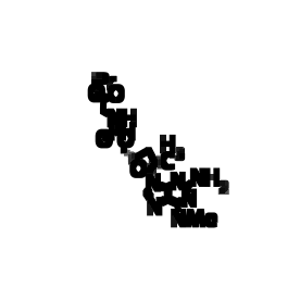 CNc1nc(N)nc2c1ncn2[C@@H]1O[C@H](CO[PH](=O)NCC(=O)OC(C)C)C[C@@H]1C